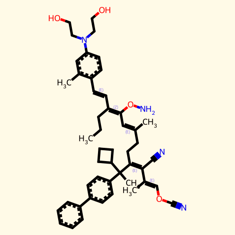 CCCC(/C=C/c1ccc(N(CCO)CCO)cc1C)=C(\C=C(/C)CC/C(=C(C#N)/C(C)=C/OC#N)C(C)(c1ccc(-c2ccccc2)cc1)C1CCC1)ON